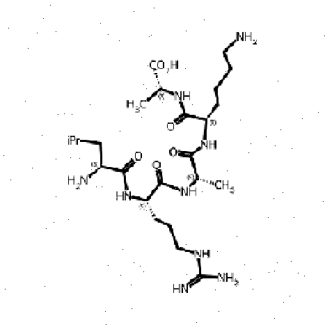 CC(C)C[C@H](N)C(=O)N[C@@H](CCCNC(=N)N)C(=O)N[C@@H](C)C(=O)N[C@H](CCCCN)C(=O)N[C@H](C)C(=O)O